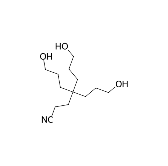 N#CCCC(CCCO)(CCCO)CCCO